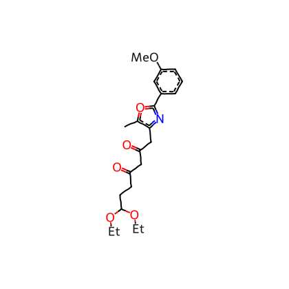 CCOC(CCC(=O)CC(=O)Cc1nc(-c2cccc(OC)c2)oc1C)OCC